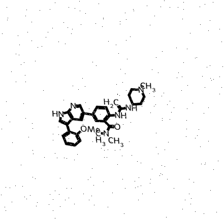 C=C(Nc1ccc(-c2cnc3[nH]cc(-c4ccccc4OC)c3c2)cc1C(=O)N(C)C)NC1CCN(C)CC1